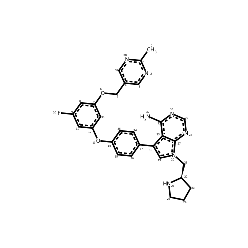 Cc1ncc(COc2cc(F)cc(Oc3ccc(-c4cn(C[C@H]5CCCN5)c5ncnc(N)c45)cc3)c2)cn1